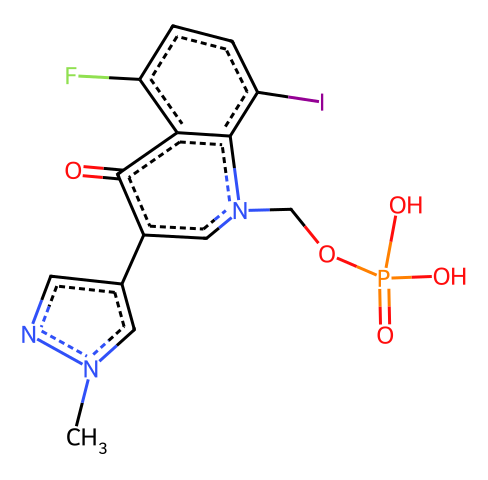 Cn1cc(-c2cn(COP(=O)(O)O)c3c(I)ccc(F)c3c2=O)cn1